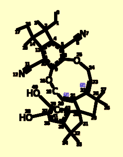 CCC1(C)c2c(C#N)c3c(c(C#N)c2C1(C)CC)OC/C=C1\C(=C/CO3)C(C)(C)CC12CC(C)(C)c1cc(O)c(O)cc12